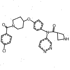 O=C(c1ccc(Cl)cc1)N1CCC(Oc2ccc(N(C(=O)C3CNC3)c3ccnnc3)cc2)CC1